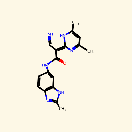 CC1=CC(C)=N/C(=C(/C=N)C(=O)Nc2ccc3nc(C)[nH]c3c2)N1